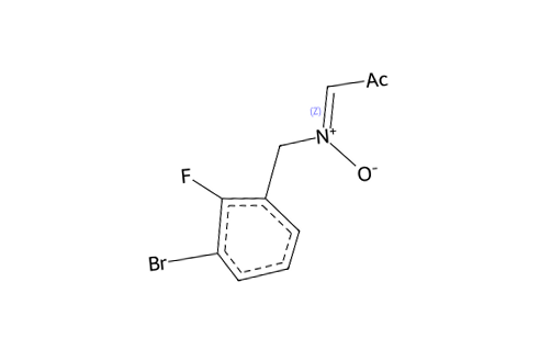 CC(=O)/C=[N+](\[O-])Cc1cccc(Br)c1F